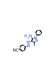 Cc1nn(-c2ccccc2)c(N)c1/N=N/c1ccc(C#N)cc1